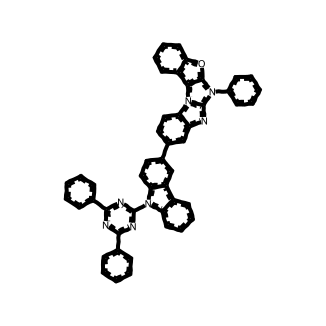 c1ccc(-c2nc(-c3ccccc3)nc(-n3c4ccccc4c4cc(-c5ccc6c(c5)nc5n(-c7ccccc7)c7oc8ccccc8c7n65)ccc43)n2)cc1